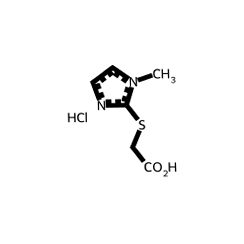 Cl.Cn1ccnc1SCC(=O)O